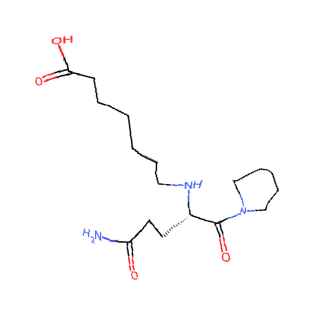 NC(=O)CC[C@H](NCCCCCCC(=O)O)C(=O)N1CCCC1